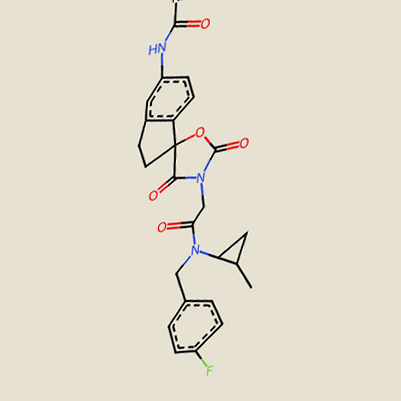 CNC(=O)Nc1ccc2c(c1)CCC21OC(=O)N(CC(=O)N(Cc2ccc(F)cc2)C2CC2C)C1=O